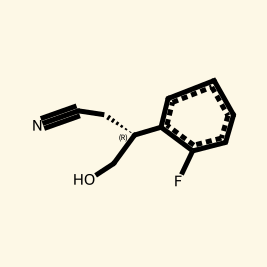 N#CC[C@@H](CO)c1ccccc1F